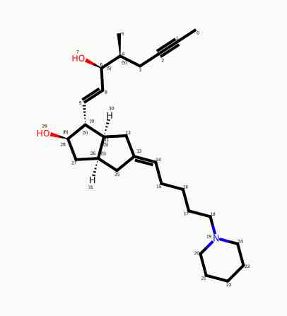 CC#CC[C@H](C)[C@H](O)C=C[C@@H]1[C@H]2CC(=CCCCCN3CCCCC3)C[C@H]2C[C@H]1O